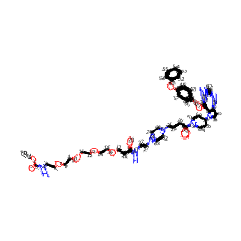 CC(C)(C)OC(=O)NCCOCCOCCOCCOCCC(=O)NCCN1CCN(CC=CC(=O)N2CCC(n3ccc4ncnc(Oc5ccc(Oc6ccccc6)cc5)c43)CC2)CC1